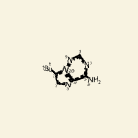 CC(C)(C)c1cnc2c(N)ncnn12